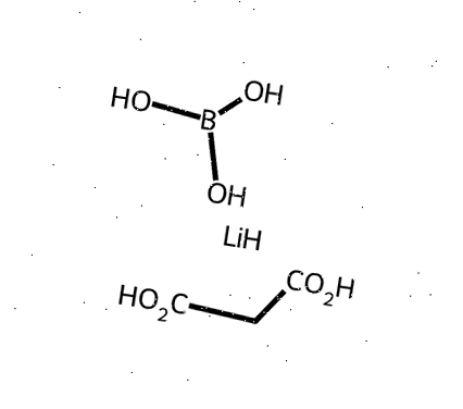 O=C(O)CC(=O)O.OB(O)O.[LiH]